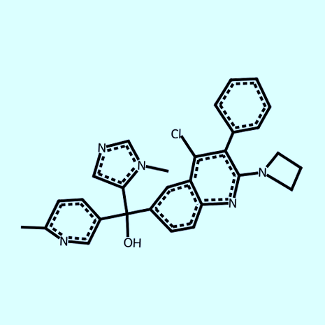 Cc1ccc(C(O)(c2ccc3nc(N4CCC4)c(-c4ccccc4)c(Cl)c3c2)c2cncn2C)cn1